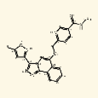 CCC(C)NC(=O)c1ccc(COc2nn3c(-c4cc(C)on4)nnc3c3ccccc23)nc1